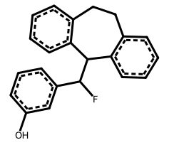 Oc1cccc(C(F)C2c3ccccc3CCc3ccccc32)c1